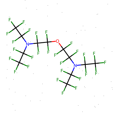 FC(F)(F)C(F)(F)N(C(F)(F)C(F)(F)F)C(F)(F)C(F)(F)OC(F)(F)C(F)(F)N(C(F)(F)C(F)(F)F)C(F)(F)C(F)(F)F